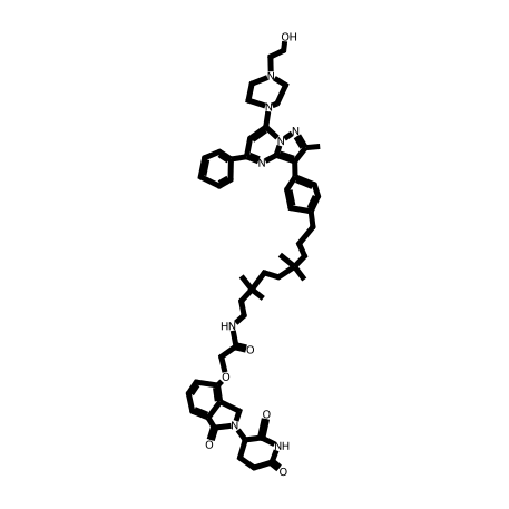 Cc1nn2c(N3CCN(CCO)CC3)cc(-c3ccccc3)nc2c1-c1ccc(CCCC(C)(C)CCC(C)(C)CCNC(=O)COc2cccc3c2CN(C2CCC(=O)NC2=O)C3=O)cc1